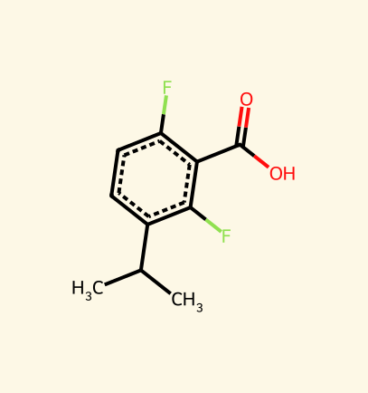 CC(C)c1ccc(F)c(C(=O)O)c1F